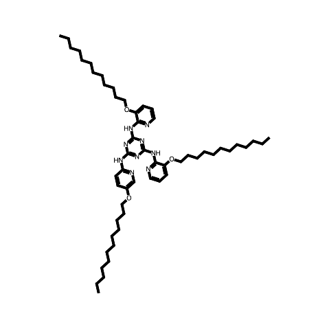 CCCCCCCCCCCCOc1ccc(Nc2nc(Nc3ncccc3OCCCCCCCCCCCC)nc(Nc3ncccc3OCCCCCCCCCCCC)n2)nc1